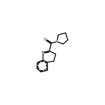 O=C(C1=Nc2ccccc2CC1)N1CCCC1